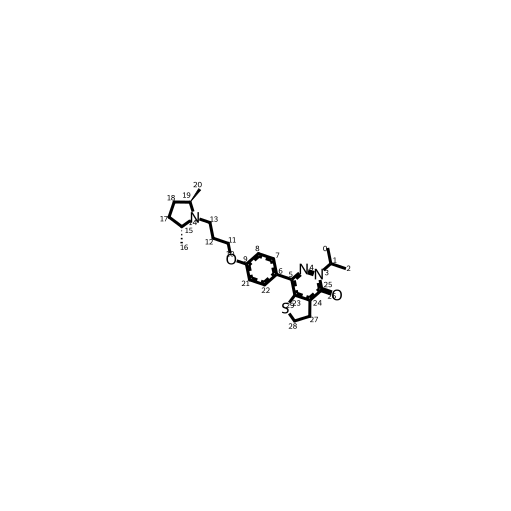 CC(C)n1nc(-c2ccc(OCCCN3[C@H](C)CC[C@H]3C)cc2)c2c(c1=O)CCS2